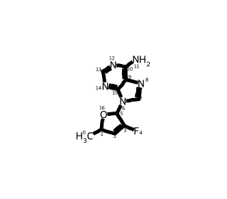 CC1C=C(F)C(n2cnc3c(N)ncnc32)O1